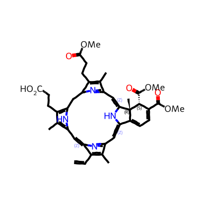 C=CC1=C(C)C2=NC/1=C\c1[nH]c(c(CCC(=O)O)c1C)CC1N=C(/C=C3\N/C(=C\2)C2=CC=C(C(=O)OC)[C@@H](C(=O)OC)[C@]23C)C(C)=C1CCC(=O)OC